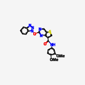 COc1ccc(NC(=O)c2csc3cnc(On4nnc5ccccc54)nc23)cc1OC